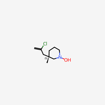 C=C(Cl)C[C@]1(C)CCCN(O)C1